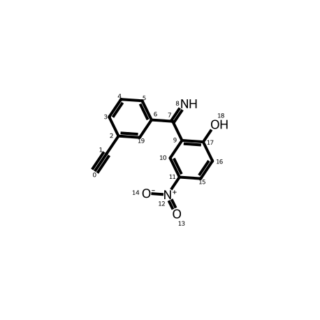 C#Cc1cccc(C(=N)c2cc([N+](=O)[O-])ccc2O)c1